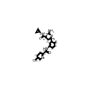 C[C@@H]1[C@@](C)(C(=O)NC2CC2)SC(N)=N[C@]1(C)c1cc(NC(=O)c2ccc(Cl)cn2)ccc1F